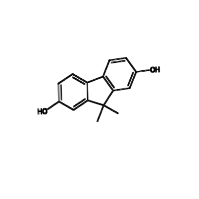 CC1(C)c2cc(O)ccc2-c2ccc(O)cc21